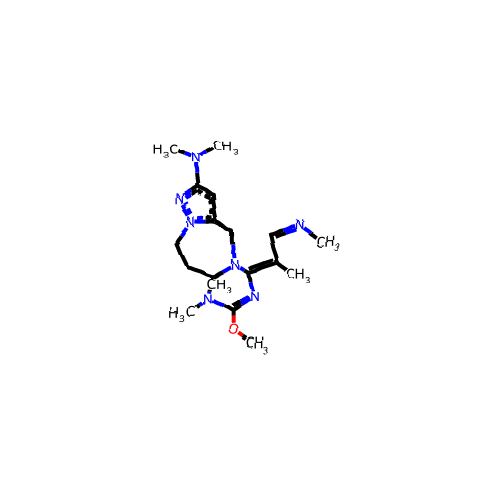 C\N=C/C(C)=C(/N=C(/OC)N(C)C)N1CCCn2nc(N(C)C)cc2C1